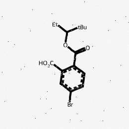 CCC(OC(=O)c1ccc(Br)cc1C(=O)O)C(C)(C)C